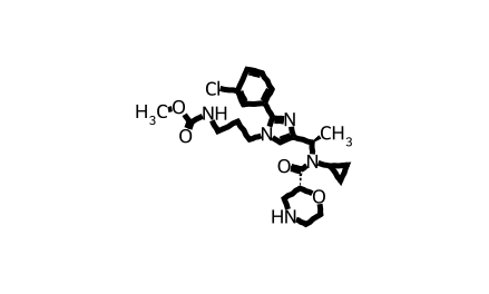 COC(=O)NCCCn1cc([C@@H](C)N(C(=O)[C@H]2CNCCO2)C2CC2)nc1-c1cccc(Cl)c1